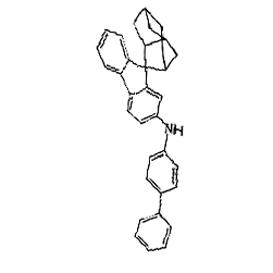 c1ccc(-c2ccc(Nc3ccc4c(c3)C3(c5ccccc5-4)C4CC5CC(C4)C3C5)cc2)cc1